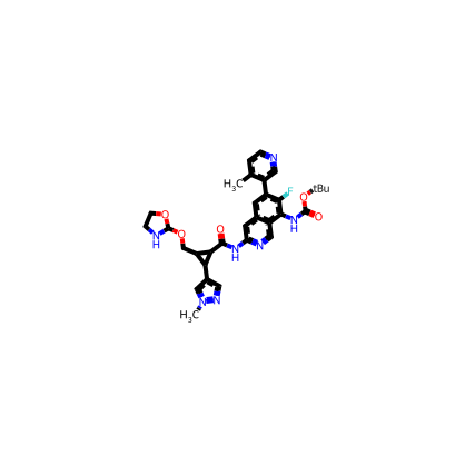 Cc1ccncc1-c1cc2cc(NC(=O)C3C(COC4NCCO4)C3c3cnn(C)c3)ncc2c(NC(=O)OC(C)(C)C)c1F